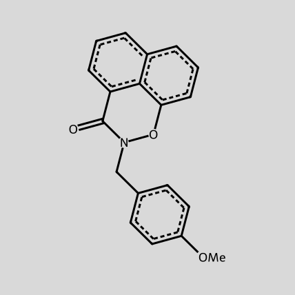 COc1ccc(CN2Oc3cccc4cccc(c34)C2=O)cc1